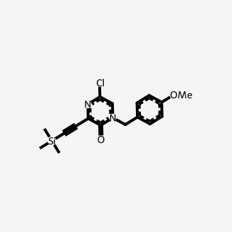 COc1ccc(Cn2cc(Cl)nc(C#C[Si](C)(C)C)c2=O)cc1